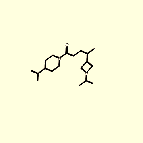 CC(C)C1CCN(C(=O)CCC(C)C2CN(C(C)C)C2)CC1